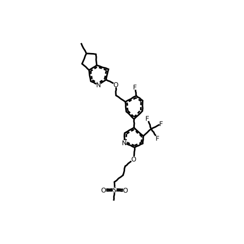 CC1Cc2cnc(OCc3cc(-c4cnc(OCCCS(C)(=O)=O)cc4C(F)(F)F)ccc3F)cc2C1